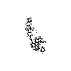 NN(C(=O)c1ccc(C#Cc2cccc(C(=O)C(O)c3ccccc3)c2-c2ccc3cc[nH]c3c2)cc1)C1CCc2ncsc2C1